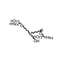 CCCCCCCCC(CCCCCC)COCCCCCCN(CCCCO)CCCCCC(=O)OCC(CCCCCC)CCCCCCCC